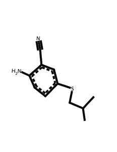 CC(C)CSc1ccc(N)c(C#N)c1